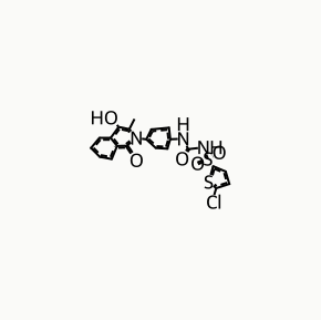 Cc1c(O)c2ccccc2c(=O)n1-c1ccc(NC(=O)NS(=O)(=O)c2ccc(Cl)s2)cc1